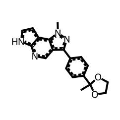 Cn1nc(-c2ccc(C3(C)OCCO3)cc2)c2cnc3[nH]ccc3c21